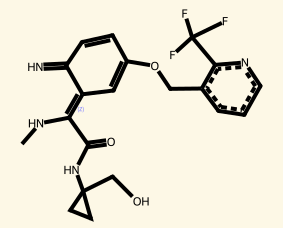 CN/C(C(=O)NC1(CO)CC1)=C1/C=C(OCc2cccnc2C(F)(F)F)C=CC1=N